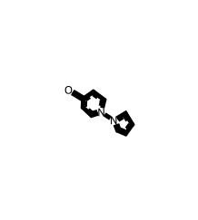 O=c1ccn(-n2cccc2)cc1